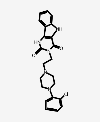 O=c1[nH]c2c([nH]c3ccccc32)c(=O)n1CCN1CCN(c2ccccc2Cl)CC1